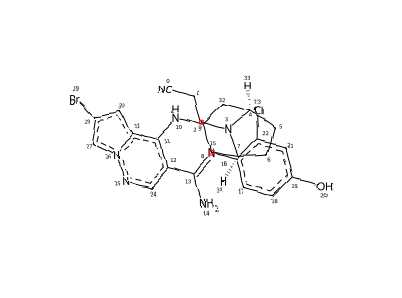 N#CCCN1[C@@H]2CC[C@H]1CC(Nc1c(C(N)=Nc3ccc(O)cc3Cl)cnn3cc(Br)cc13)C2